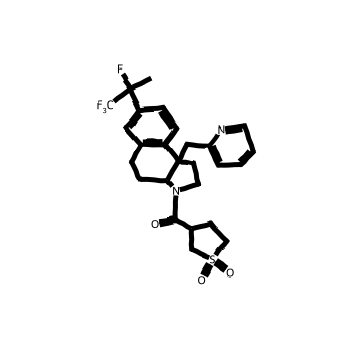 CC(F)(c1ccc2c(c1)CCC1N(C(=O)C3CCS(=O)(=O)C3)CCC21Cc1ccccn1)C(F)(F)F